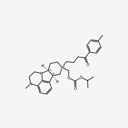 Cc1ccc(C(=O)CCC[N+]2(COC(=O)OC(C)C)CC[C@H]3[C@@H](C2)c2cccc4c2N3CCN4C)cc1